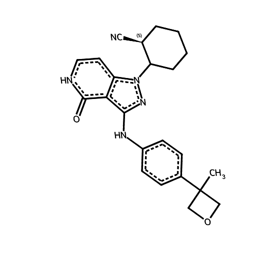 CC1(c2ccc(Nc3nn(C4CCCC[C@@H]4C#N)c4cc[nH]c(=O)c34)cc2)COC1